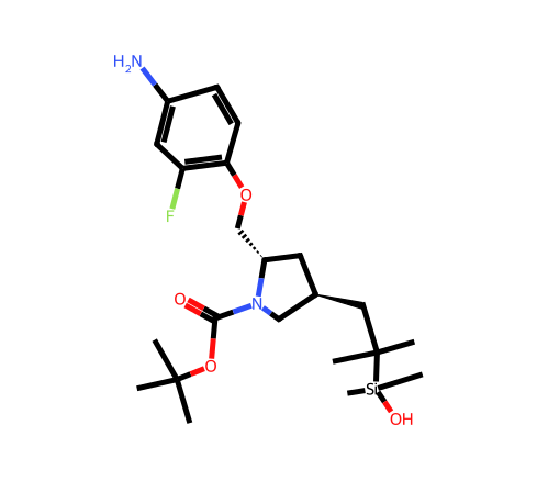 CC(C)(C)OC(=O)N1C[C@H](CC(C)(C)[Si](C)(C)O)C[C@H]1COc1ccc(N)cc1F